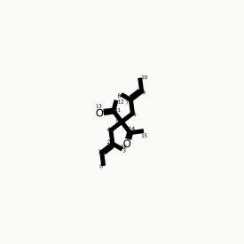 C/C=C(\C)CC(C/C(C)=C/C)(C(C)=O)C(C)=O